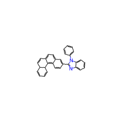 C1=CC2C=Cc3ccc4cc(-c5nc6ccccc6n5-c5ccccc5)ccc4c3C2C=C1